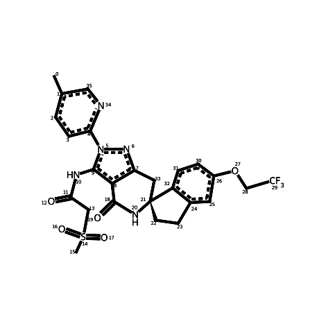 Cc1ccc(-n2nc3c(c2NC(=O)CS(C)(=O)=O)C(=O)N[C@]2(CCc4cc(OCC(F)(F)F)ccc42)C3)nc1